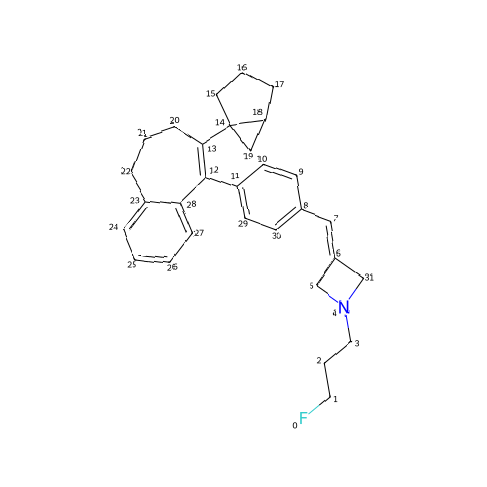 FCCCN1CC(=Cc2ccc(C3=C(C45CCCC4C5)CCCc4ccccc43)cc2)C1